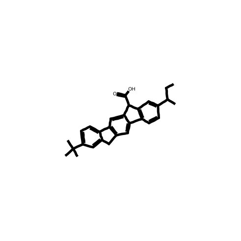 CCC(C)c1ccc2c(c1)C(C(=O)O)c1cc3c(cc1-2)Cc1cc(C(C)(C)C)ccc1-3